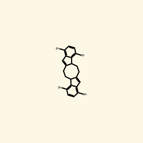 CC(C)c1ccc(C(C)C)c2c1C=C1CCC3C(=Cc4c(C(C)C)ccc(C(C)C)c43)CCC12